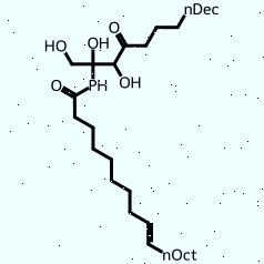 CCCCCCCCC=CCCCCCCCC(=O)PC(O)(CO)C(O)C(=O)CCCCCCCCCCCCC